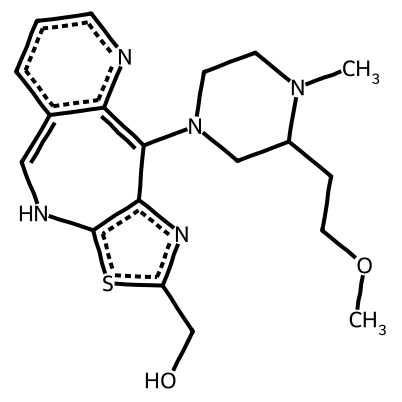 COCCC1CN(C2=c3ncccc3=CNc3sc(CO)nc32)CCN1C